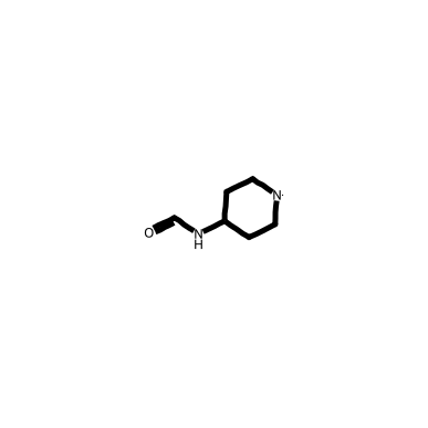 O=CNC1CC[N]CC1